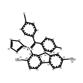 Cc1ccc([C](c2ccc(C)cc2)=[Zr]([C]2=CC=CC2)[c]2c(C(C)(C)C)ccc3c2Cc2cc(C(C)(C)C)ccc2-3)cc1